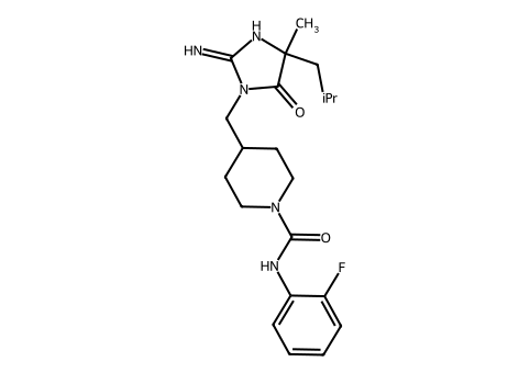 CC(C)CC1(C)NC(=N)N(CC2CCN(C(=O)Nc3ccccc3F)CC2)C1=O